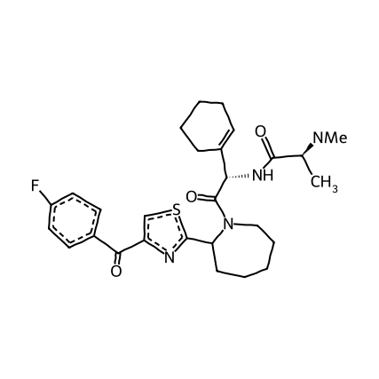 CN[C@@H](C)C(=O)N[C@H](C(=O)N1CCCCCC1c1nc(C(=O)c2ccc(F)cc2)cs1)C1=CCCCC1